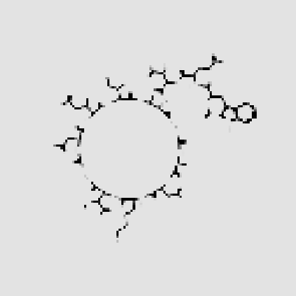 CCC(C)C1NC(=O)C(C(C)CC(=O)O)NC(=O)C(CC(N)=O)NC(=O)CNC(=O)C(C(OC)C(=O)O)NC(=O)C(CCCCN)NC(=O)C(CC(=O)O)NC(=O)C(C)NC(=O)CNC(=O)C(NC(=O)C(NC(=O)C(CCC(=O)O)NC(=O)C(Cc2c[nH]c3ccccc23)NC=O)C(O)C(N)=O)C(C)OC1=O